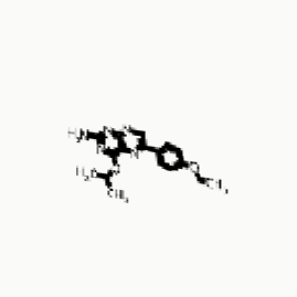 CCOc1ccc(-c2cnc3nc(N)nc(OC(C)C)c3n2)cc1